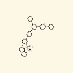 CC1(C)c2cc(-c3ccc(-c4nc(-c5ccc(-c6ccccc6)cc5)nc(-c5cccnc5)n4)cc3)ccc2-c2ccc3ccccc3c21